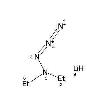 CCN(CC)N=[N+]=[N-].[LiH]